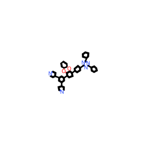 C1=CC2Oc3c(-c4ccc(-c5nc(-c6ccccc6)nc(-c6ccccc6)n5)cc4)ccc(-c4cc(-c5ccncc5)cc(-c5ccncc5)c4)c3OC2C=C1